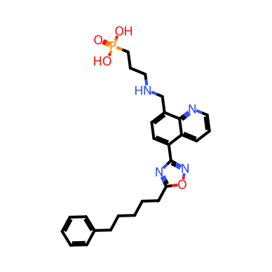 O=P(O)(O)CCCNCc1ccc(-c2noc(CCCCCc3ccccc3)n2)c2cccnc12